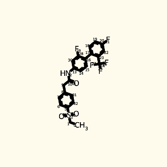 CCS(=O)(=O)c1ccc(CC(=O)Nc2ccc(-c3ccc(F)cc3C(F)(F)F)c(F)c2)cc1